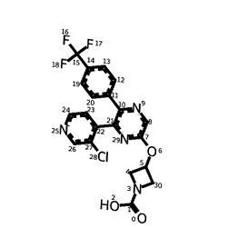 O=C(O)N1CC(Oc2cnc(-c3ccc(C(F)(F)F)cc3)c(-c3ccncc3Cl)n2)C1